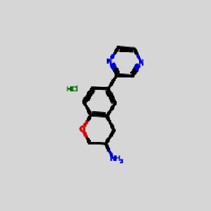 Cl.NC1COc2ccc(-c3cnccn3)cc2C1